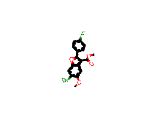 COC(=O)c1c(-c2ccc(F)cc2)oc2cc(Br)c(OC)cc12